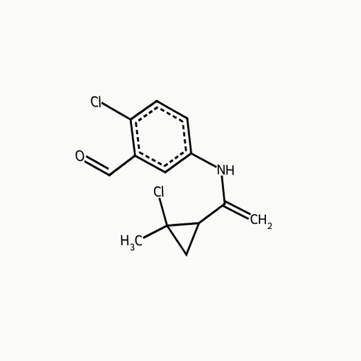 C=C(Nc1ccc(Cl)c(C=O)c1)C1CC1(C)Cl